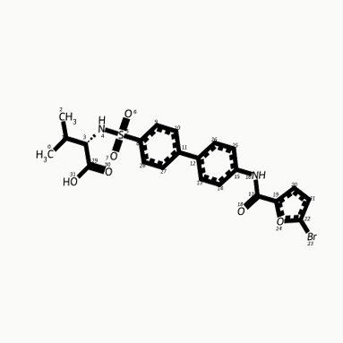 CC(C)[C@H](NS(=O)(=O)c1ccc(-c2ccc(NC(=O)c3ccc(Br)o3)cc2)cc1)C(=O)O